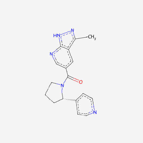 Cc1n[nH]c2ncc(C(=O)N3CCC[C@H]3c3ccncc3)cc12